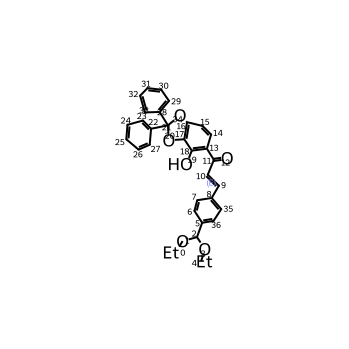 CCOC(OCC)c1ccc(/C=C/C(=O)c2ccc3c(c2O)OC(c2ccccc2)(c2ccccc2)O3)cc1